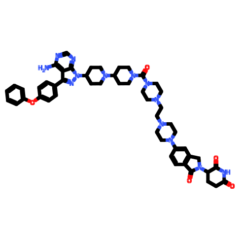 Nc1ncnc2c1c(-c1ccc(Oc3ccccc3)cc1)nn2C1CCN(C2CCN(C(=O)N3CCN(CCN4CCN(c5ccc6c(c5)CN(C5CCC(=O)NC5=O)C6=O)CC4)CC3)CC2)CC1